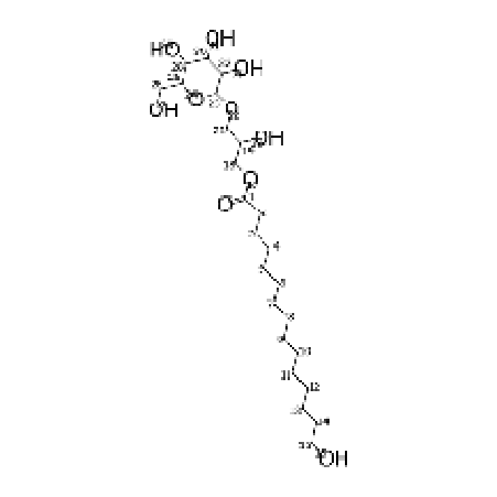 O=C(CCCCCCCCCCCCCCO)OCC(O)COC1OC(CO)C(O)C(O)C1O